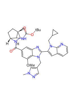 COc1cc(C(=O)N2C[C@H]3CC[C@@H]2[C@@H]3NC(=O)OC(C)(C)C)cc2nc(-c3cc4cccnc4n3CC3CC3)n(Cc3cnn(C)c3)c12